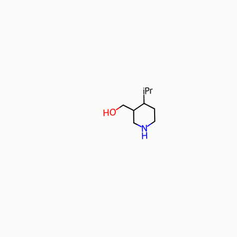 CC(C)C1CCNCC1CO